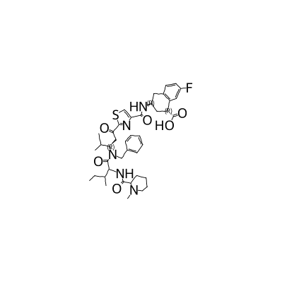 CCC(C)C(NC(=O)C1CCCCN1C)C(=O)N(Cc1ccccc1)[C@H](CC(=O)c1nc(C(=O)N[C@H]2Cc3ccc(F)cc3[C@H](C(=O)O)C2)cs1)C(C)C